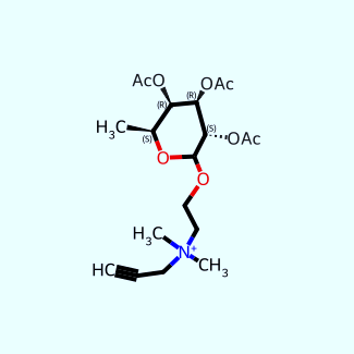 C#CC[N+](C)(C)CCOC1O[C@@H](C)[C@@H](OC(C)=O)[C@@H](OC(C)=O)[C@@H]1OC(C)=O